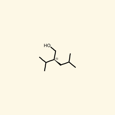 CC(C)C[C@H](CO)C(C)C